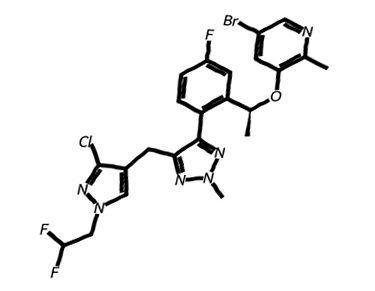 Cc1ncc(Br)cc1O[C@@H](C)c1cc(F)ccc1-c1nn(C)nc1Cc1cn(CC(F)F)nc1Cl